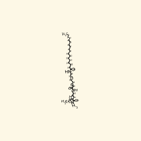 CCCCCCCCCCCCCCCCCC(=O)NCCOCCOCC(=O)NCCCC[C@H](NCC)C(N)=O